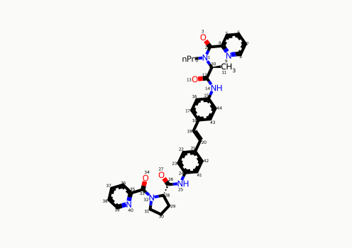 CCCN(C(=O)c1ccccn1)[C@@H](C)C(=O)Nc1ccc(/C=C/c2ccc(NC(=O)[C@@H]3CCCN3C(=O)c3ccccn3)cc2)cc1